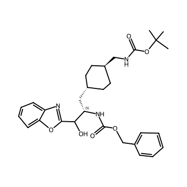 CC(C)(C)OC(=O)NC[C@H]1CC[C@H](C[C@H](NC(=O)OCc2ccccc2)C(O)c2nc3ccccc3o2)CC1